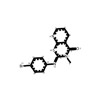 Cn1c(=O)c2cccnc2s/c1=N\c1ccc(Br)cc1